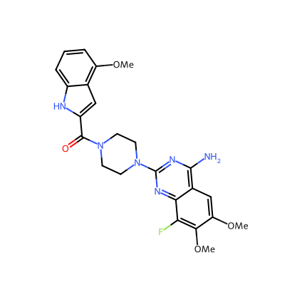 COc1cc2c(N)nc(N3CCN(C(=O)c4cc5c(OC)cccc5[nH]4)CC3)nc2c(F)c1OC